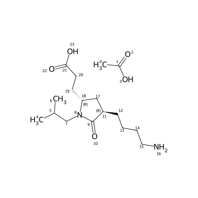 CC(=O)O.CC(C)CN1C(=O)[C@H](CCCCN)C[C@H]1CCC(=O)O